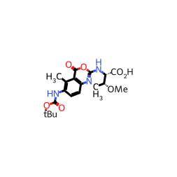 CO[C@H](C)[C@H](Nc1nc2ccc(NC(=O)OC(C)(C)C)c(C)c2c(=O)o1)C(=O)O